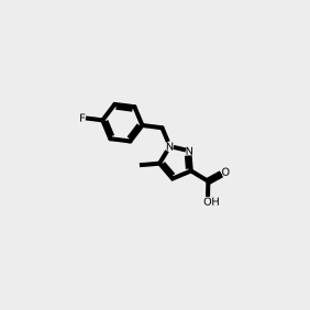 Cc1cc(C(=O)O)nn1Cc1ccc(F)cc1